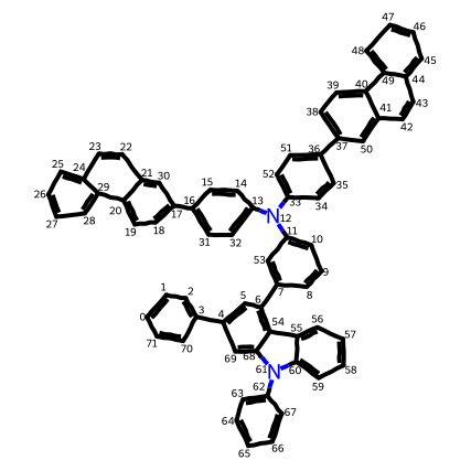 c1ccc(-c2cc(-c3cccc(N(c4ccc(-c5ccc6c(ccc7ccccc76)c5)cc4)c4ccc(-c5ccc6c(ccc7ccccc76)c5)cc4)c3)c3c4ccccc4n(-c4ccccc4)c3c2)cc1